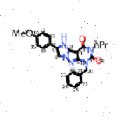 CCCn1c(=O)c2c(nn3cc(-c4ccc(OC)cc4)[nH]c23)n(Cc2ccccc2)c1=O